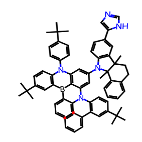 CC(C)(C)c1ccc(N2c3ccc(C(C)(C)C)cc3B3c4ccccc4N(c4ccc(C(C)(C)C)cc4-c4ccccc4)c4cc(N5c6ccc(-c7cnc[nH]7)cc6C6(C)CCc7ccccc7C56C)cc2c43)cc1